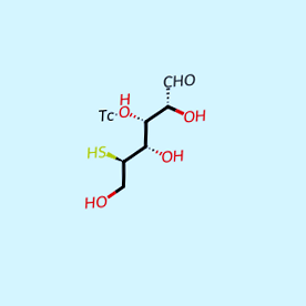 O=C[C@H](O)[C@@H](O)[C@H](O)[C@H](S)CO.[Tc]